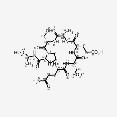 C[C@H](NC(=O)[C@@H]1CCCN1C(=O)[C@H](CO)NC(=O)[C@H](C)NC(=O)[C@H](CCC(=O)O)NC(=O)[C@H](CC(=O)O)NC(=O)[C@@H](N)CCC(N)=O)C(=O)O